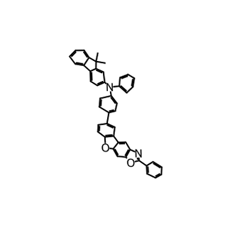 CC1(C)c2ccccc2-c2ccc(N(c3ccccc3)c3ccc(-c4ccc5oc6cc7oc(-c8ccccc8)nc7cc6c5c4)cc3)cc21